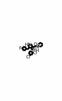 O=C(NN1CCCCC1)c1nn(-c2ccc(Cl)cc2Cl)c2c1CNCC2=Cc1ccc(F)cc1